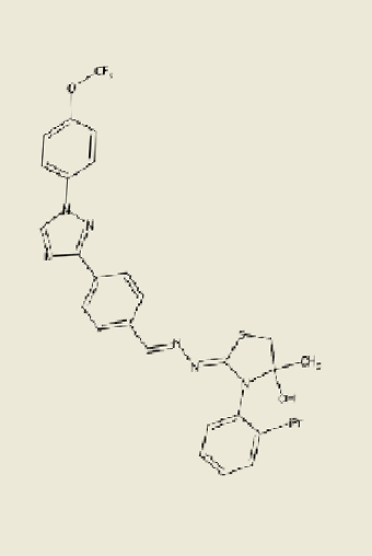 CC(C)c1ccccc1N1/C(=N/N=C/c2ccc(-c3ncn(-c4ccc(OC(F)(F)F)cc4)n3)cc2)SCC1(C)O